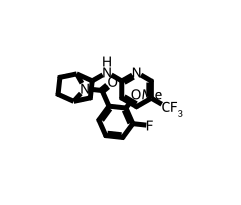 COc1c(F)cccc1C(=O)N1C2CCC1C(Nc1ccc(C(F)(F)F)cn1)C2